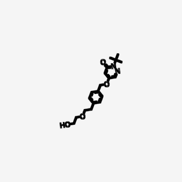 CC(C)(C)n1ncc(OCc2ccc(CCOCCO)cc2)cc1=O